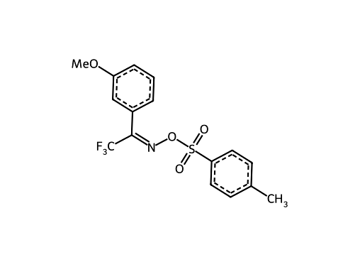 COc1cccc(/C(=N\OS(=O)(=O)c2ccc(C)cc2)C(F)(F)F)c1